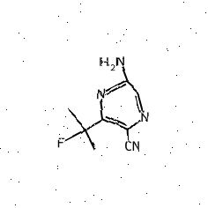 CC(C)(F)c1nc(N)cnc1C#N